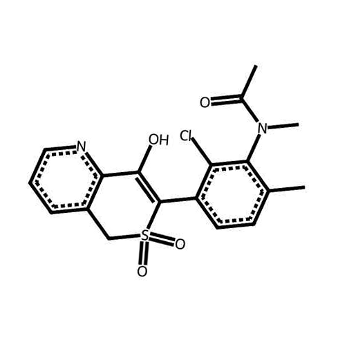 CC(=O)N(C)c1c(C)ccc(C2=C(O)c3ncccc3CS2(=O)=O)c1Cl